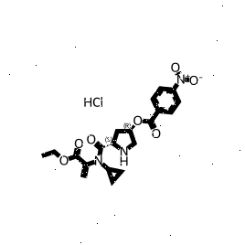 C=C(C(=O)OCC)N(C(=O)[C@@H]1C[C@@H](OC(=O)c2ccc([N+](=O)[O-])cc2)CN1)C1CC1.Cl